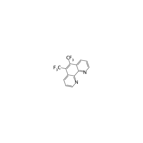 FC(F)(F)c1c(C(F)(F)F)c2cccnc2c2ncccc12